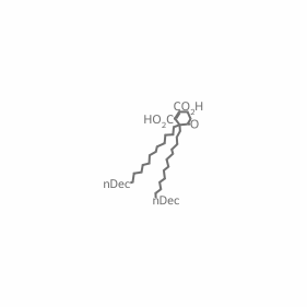 CCCCCCCCCCCCCCCCCCCCCCC1(CCCCCCCCCCCCCCCCCCCCCC)C(C(=O)O)=C(C(=O)O)CC2OC21